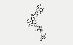 CC(=O)Oc1cc(C)cc(C)c1C(C)(C)CC(=O)Nc1ccc2c(c1)Oc1cc(NC(=O)NCCCN3C(=O)C=CC3=O)ccc1C2(OC=O)c1ccccc1